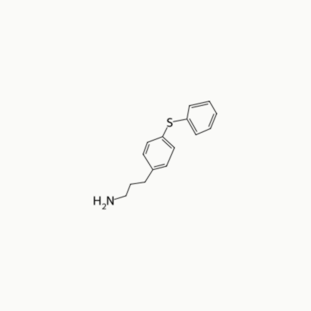 NCCCc1ccc(Sc2ccccc2)cc1